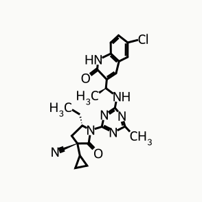 CC[C@H]1C[C@@](C#N)(C2CC2)C(=O)N1c1nc(C)nc(N[C@@H](C)c2cc3cc(Cl)ccc3[nH]c2=O)n1